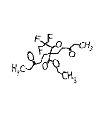 CCOC(=O)C(CCC(=O)CC)(CCC(=O)CC)C(=O)C(F)(F)F